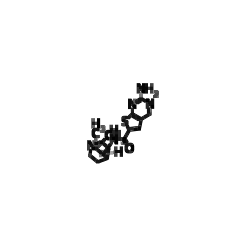 CC1(C)[C@@H](NC(=O)c2cc3cnc(N)nc3s2)C2CCN1CC2